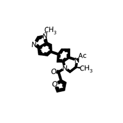 CC(=O)N1c2ccc(-c3ccc4ncn(C)c4c3)cc2N(C(=O)c2ccco2)C[C@@H]1C